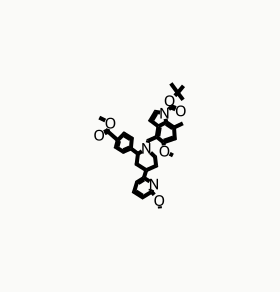 COC(=O)c1ccc(C2CC(c3cccc(OC)n3)CCN2Cc2c(OC)cc(C)c3c2ccn3C(=O)OC(C)(C)C)cc1